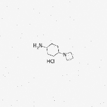 Cl.NC1CCC(N2CCC2)CC1